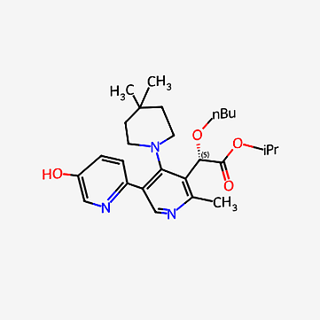 CCCCO[C@H](C(=O)OC(C)C)c1c(C)ncc(-c2ccc(O)cn2)c1N1CCC(C)(C)CC1